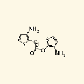 Nc1ccsc1O[PH](=O)Oc1sccc1N